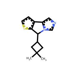 CC1(C)CC(C2c3sccc3-c3cncn32)C1